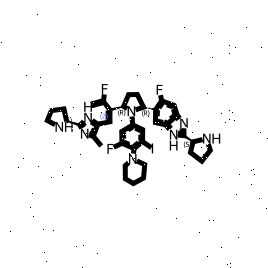 C=C(F)/C(=C\c1[nH]c([C@@H]2CCCN2)nc1C)[C@H]1CC[C@H](c2cc3[nH]c([C@@H]4CCCN4)nc3cc2F)N1c1cc(F)c(N2CCCCC2)c(I)c1